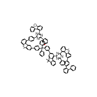 CC1(C)c2ccccc2-c2c(-c3nc(-c4ccccc4)nc(-c4cccc5sc6ccc(-c7ccc(-c8ccccc8-c8ccccc8)cc7)cc6c45)n3)cc(-c3cccc(C(c4ccccc4)(c4ccccc4)c4ccc(-c5ccc6sc7cccc(-c8ccc(-c9nc(-c%10ccccc%10)nc(-c%10cccc%11oc%12ccccc%12c%10%11)n9)cc8)c7c6c5)cc4)c3)cc21